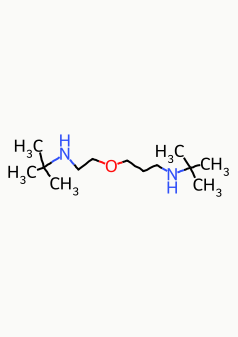 CC(C)(C)NCCCOCCNC(C)(C)C